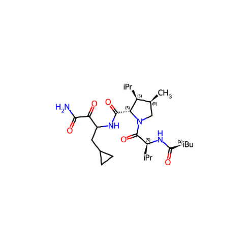 CC[C@H](C)C(=O)N[C@H](C(=O)N1C[C@H](C)[C@H](C(C)C)[C@H]1C(=O)NC(CC1CC1)C(=O)C(N)=O)C(C)C